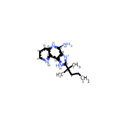 CCCC(C)(C)c1nc2c(N)nc3cccnc3c2[nH]1